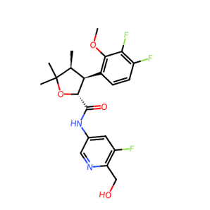 COc1c([C@H]2[C@H](C(=O)Nc3cnc(CO)c(F)c3)OC(C)(C)[C@H]2C)ccc(F)c1F